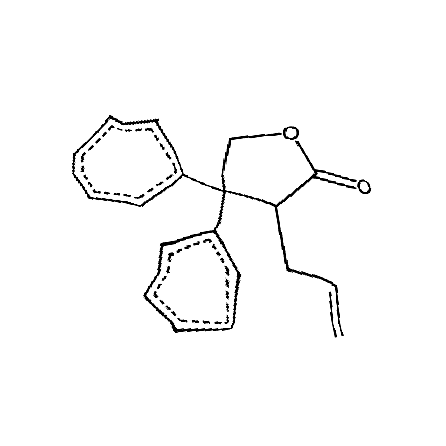 C=CCC1C(=O)OCC1(c1ccccc1)c1ccccc1